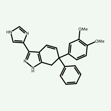 COc1ccc(C2(c3ccccc3)C=Cc3c(-c4c[nH]cn4)n[nH]c3C2)cc1OC